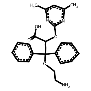 Cc1cc(C)nc(OC(C(=O)O)C(OCCN)(c2ccccc2)c2ccccc2)n1